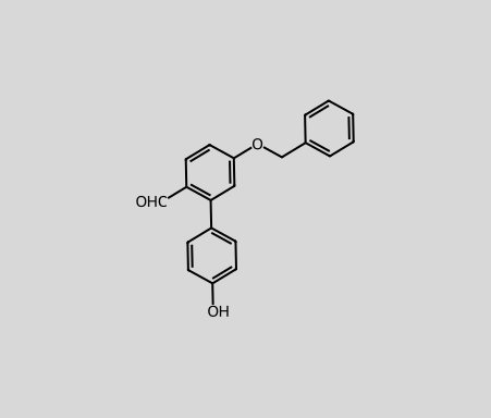 O=Cc1ccc(OCc2ccccc2)cc1-c1ccc(O)cc1